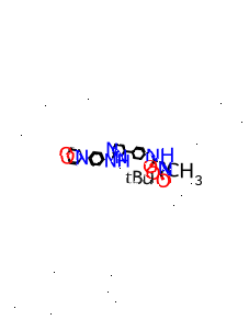 CN(CC(=O)Nc1ccc(-c2ccnc(Nc3ccc(N4CCOCC4)cc3)n2)cc1)C(=O)OC(C)(C)C